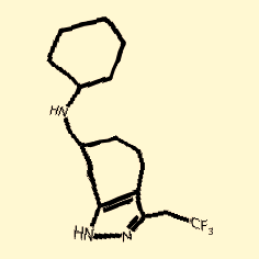 FC(F)(F)c1n[nH]c2c1CCC(NC1CCCCC1)C2